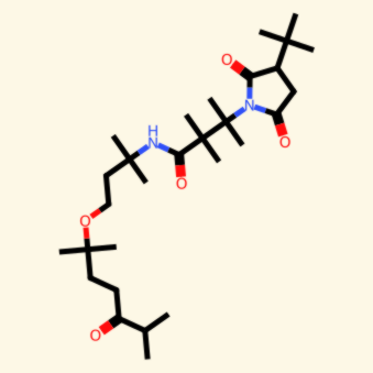 CC(C)C(=O)CCC(C)(C)OCCC(C)(C)NC(=O)C(C)(C)C(C)(C)N1C(=O)CC(C(C)(C)C)C1=O